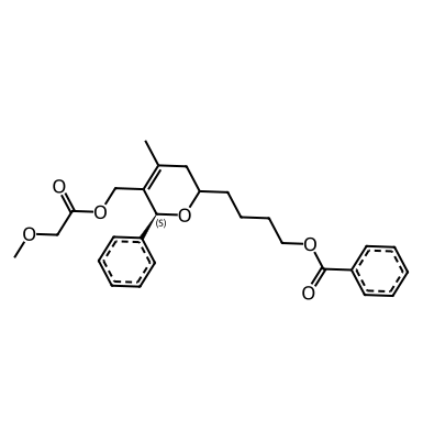 COCC(=O)OCC1=C(C)CC(CCCCOC(=O)c2ccccc2)O[C@H]1c1ccccc1